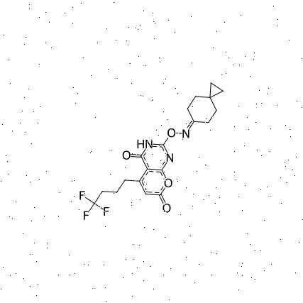 O=c1cc(CCCC(F)(F)F)c2c(=O)[nH]c(ON=C3CCC4(CC3)CC4)nc2o1